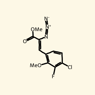 COC(=O)/C(=C/c1ccc(Cl)c(F)c1OC)N=[N+]=[N-]